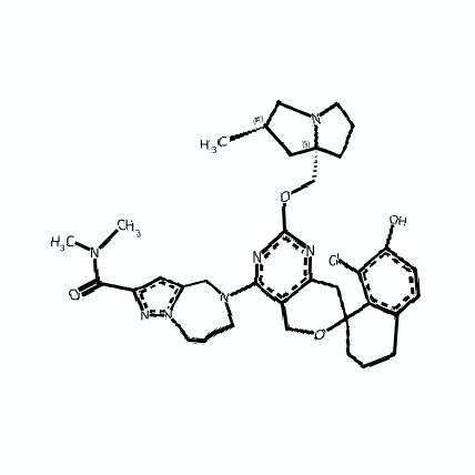 C[C@H]1CN2CCC[C@@]2(COc2nc3c(c(N4CCCn5nc(C(=O)N(C)C)cc5C4)n2)COC2(CCCc4ccc(O)c(Cl)c42)C3)C1